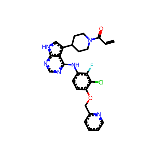 C=CC(=O)N1CCC(c2c[nH]c3ncnc(Nc4ccc(OCc5ccccn5)c(Cl)c4F)c23)CC1